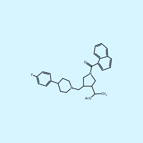 CC(=O)OC(C)C1CN(C(=O)c2cccc3ccccc23)CC1CN1CCC(c2ccc(F)cc2)CC1